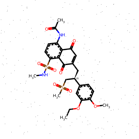 CCOc1cc([C@H](CC2=CC(=O)c3c(NC(C)=O)ccc(S(=O)(=O)NC)c3C2=O)CS(C)(=O)=O)ccc1OC